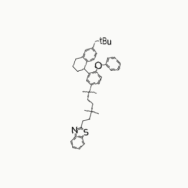 CC(C)(C)Cc1ccc2c(c1)CCCC2c1cc(C(C)(C)CCC(C)(C)CCc2nc3ccccc3s2)ccc1Oc1ccccc1